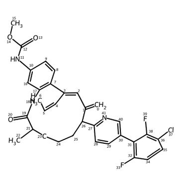 C=C1/C=C(\C=C/C)c2ccc(NC(=O)OC)cc2NC(=O)C(C)CCCC1c1ccc(-c2c(F)ccc(Cl)c2F)cn1